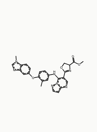 COC(=O)C1COC(c2cnc3ccnn3c2Nc2ccc(Oc3ccc4c(c3)ncn4C)c(C)c2)=N1